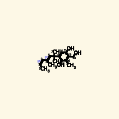 C/C=C\C(C)=C\C(C)(C)c1cc(O)c(CO)c(C)c1O